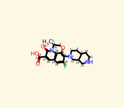 C[C@H]1COc2c(N3CCC4CCNCC4C3)c(F)cc3cc(C(=O)O)c(=O)n1c23